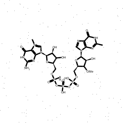 BP(=O)(OC[C@H]1O[C@@H](n2c[n+](C)c3c(=O)[nH]c(N)nc32)[C@@H](O)C1O)OP(=O)(O)OP(=O)(O)OC[C@H]1O[C@@H](n2cnc3c(=O)[nH]c(C)nc32)[C@@H](O)C1OC